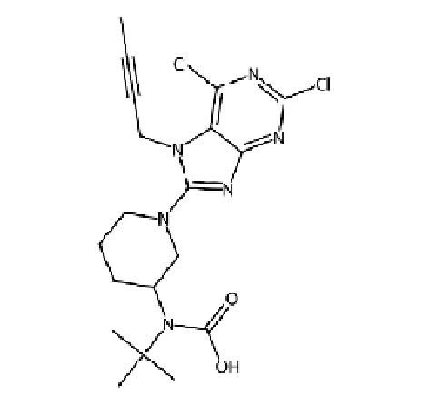 CC#CCn1c(N2CCCC(N(C(=O)O)C(C)(C)C)C2)nc2nc(Cl)nc(Cl)c21